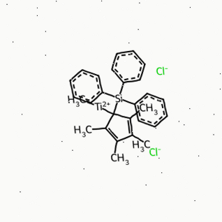 [CH3][Ti+2][C]1([Si](c2ccccc2)(c2ccccc2)c2ccccc2)C(C)=C(C)C(C)=C1C.[Cl-].[Cl-]